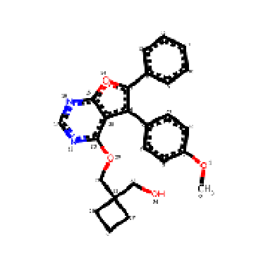 COc1ccc(-c2c(-c3ccccc3)oc3ncnc(OCC4(CO)CCC4)c23)cc1